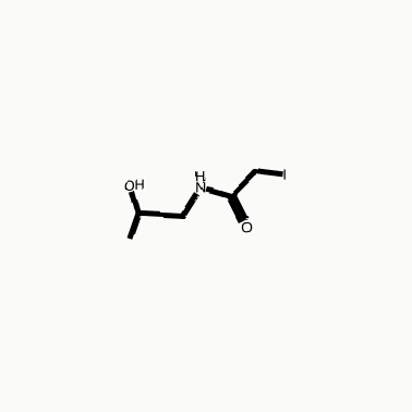 CC(O)CNC(=O)CI